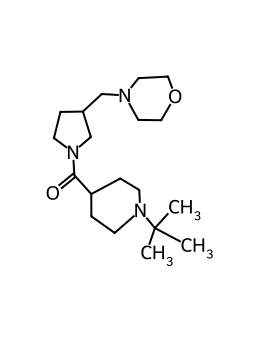 CC(C)(C)N1CCC(C(=O)N2CCC(CN3CCOCC3)C2)CC1